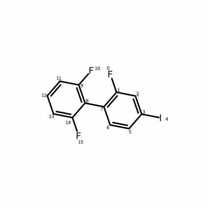 Fc1[c]c(I)ccc1-c1c(F)cccc1F